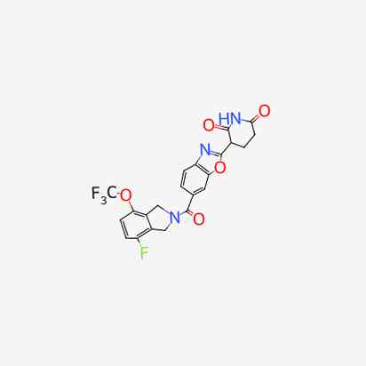 O=C1CCC(c2nc3ccc(C(=O)N4Cc5c(F)ccc(OC(F)(F)F)c5C4)cc3o2)C(=O)N1